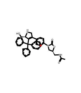 CC(=O)NC[C@H]1CN(c2ccc(C3=C(C(c4ccccc4)(c4ccccc4)c4ccccc4)[C@@H](CO)NC3)cc2)C(=O)O1